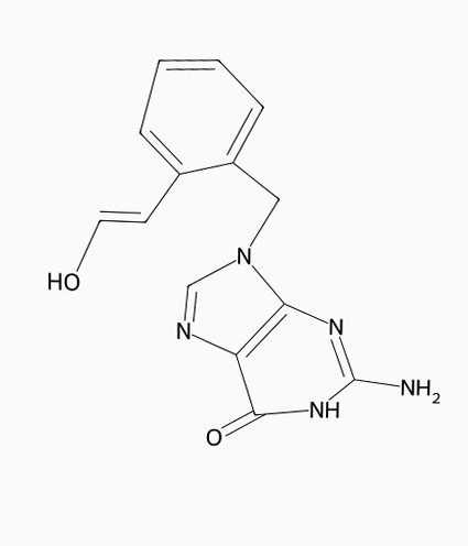 Nc1nc2c(ncn2Cc2ccccc2/C=C/O)c(=O)[nH]1